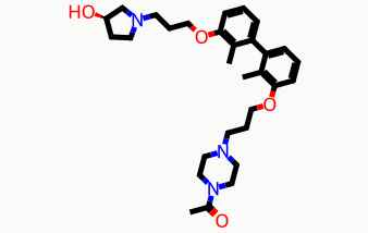 CC(=O)N1CCN(CCCOc2cccc(-c3cccc(OCCCN4CC[C@@H](O)C4)c3C)c2C)CC1